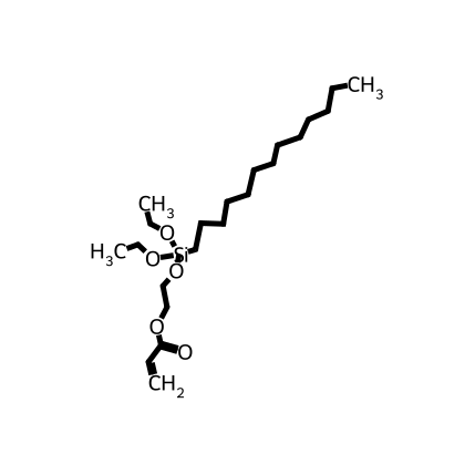 C=CC(=O)OCCO[Si](CCCCCCCCCCCCC)(OCC)OCC